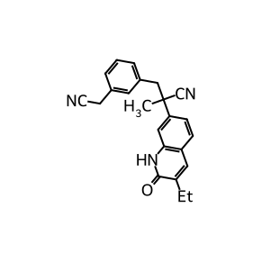 CCc1cc2ccc(C(C)(C#N)Cc3cccc(CC#N)c3)cc2[nH]c1=O